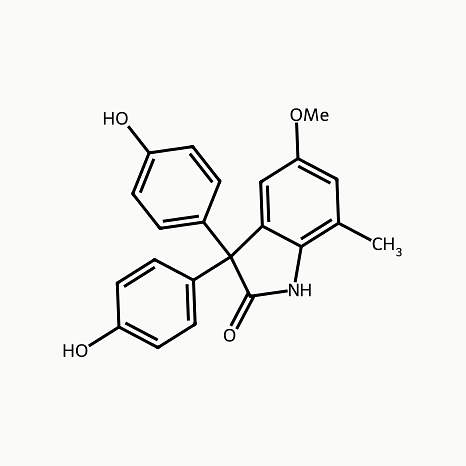 COc1cc(C)c2c(c1)C(c1ccc(O)cc1)(c1ccc(O)cc1)C(=O)N2